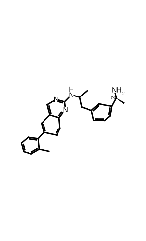 Cc1ccccc1-c1ccc2nc(NC(C)Cc3cccc([C@H](C)N)c3)ncc2c1